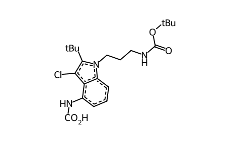 CC(C)(C)OC(=O)NCCCn1c(C(C)(C)C)c(Cl)c2c(NC(=O)O)cccc21